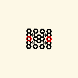 c1ccc(N(c2c3ccccc3cc3ccccc23)c2cc(N(c3ccccc3)c3c4ccccc4cc4ccccc34)c3ccc4c(N(c5ccccc5)c5c6ccccc6cc6ccccc56)cc(N(c5ccccc5)c5c6ccccc6cc6ccccc56)c5ccc2c3c54)cc1